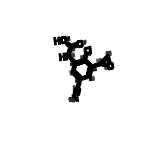 N#Cc1cc(NC(=O)O)c(Cl)c(C2CO2)c1